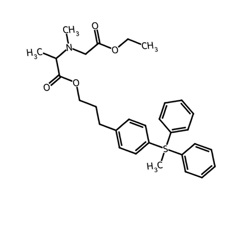 CCOC(=O)CN(C)C(C)C(=O)OCCCc1ccc(S(C)(c2ccccc2)c2ccccc2)cc1